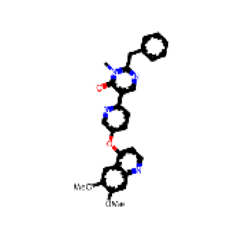 COc1cc2nccc(Oc3ccc(-c4cnc(Cc5ccccc5)n(C)c4=O)nc3)c2cc1OC